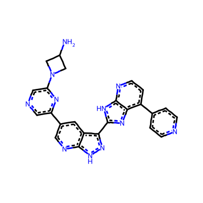 NC1CN(c2cncc(-c3cnc4[nH]nc(-c5nc6c(-c7ccncc7)ccnc6[nH]5)c4c3)n2)C1